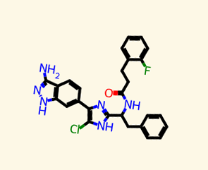 Nc1n[nH]c2cc(-c3nc(C(Cc4ccccc4)NC(=O)CCc4ccccc4F)[nH]c3Cl)ccc12